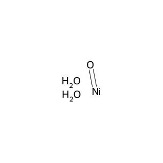 O.O.[O]=[Ni]